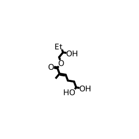 CCC(O)COC(=O)C(C)=CCCC(O)O